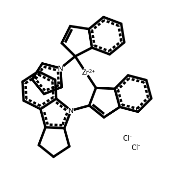 C1=C[C]([Zr+2][CH]2C(n3c4c(c5ccccc53)CCC4)=Cc3ccccc32)(n2cccc2)c2ccccc21.[Cl-].[Cl-]